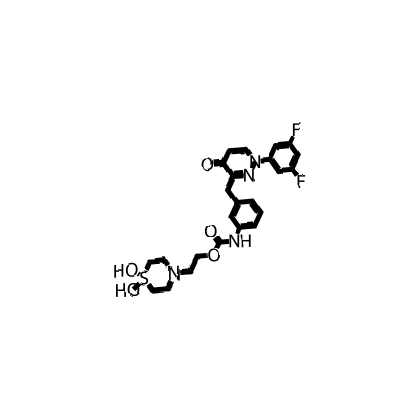 O=C(Nc1cccc(Cc2nn(-c3cc(F)cc(F)c3)ccc2=O)c1)OCCN1CCS(O)(O)CC1